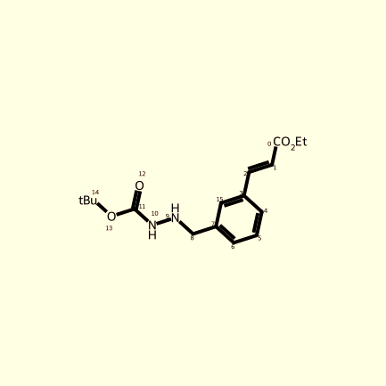 CCOC(=O)/C=C/c1cccc(CNNC(=O)OC(C)(C)C)c1